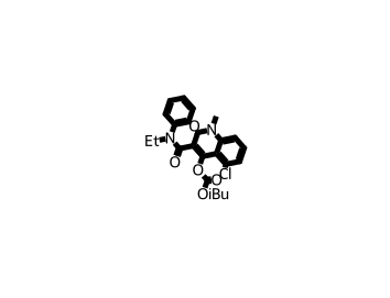 CCN(C(=O)c1c(OC(=O)OCC(C)C)c2c(Cl)cccc2n(C)c1=O)c1ccccc1